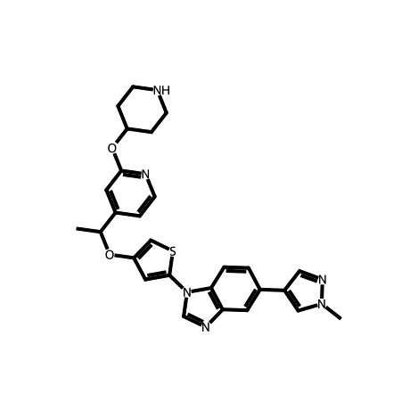 CC(Oc1csc(-n2cnc3cc(-c4cnn(C)c4)ccc32)c1)c1ccnc(OC2CCNCC2)c1